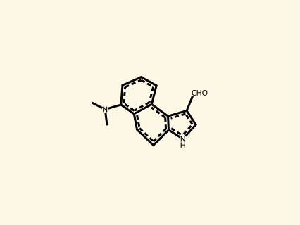 CN(C)c1cccc2c1ccc1[nH]cc(C=O)c12